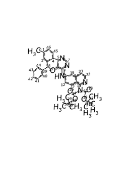 Cc1ccc(-c2ncnc(Nc3ccc4c(N(C(=O)OC(C)(C)C)C(=O)OC(C)(C)C)nccc4c3)c2OCc2ccccc2)cc1